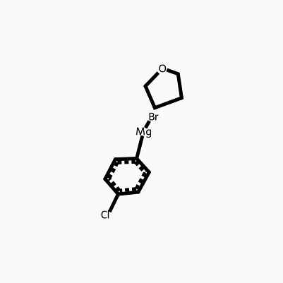 C1CCOC1.Clc1cc[c]([Mg][Br])cc1